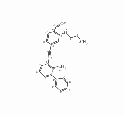 CCCOc1cc(C#Cc2cccc(-c3ccccc3)c2C)ccc1C=O